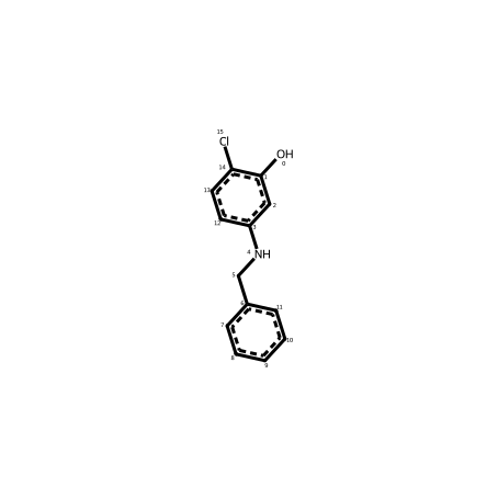 Oc1cc(NCc2ccccc2)ccc1Cl